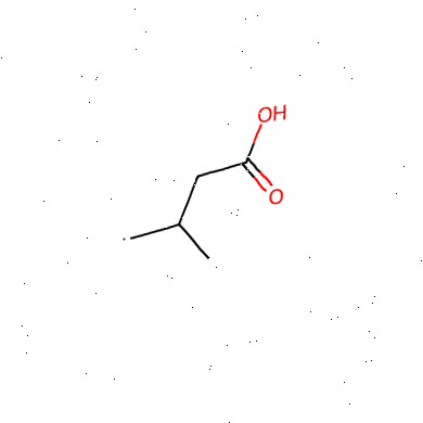 [CH2]C(C)CC(=O)O